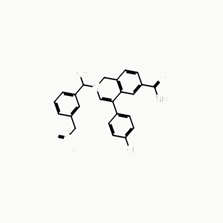 CC(c1cccc(C[SH](=O)=O)c1)N1C=C(c2ccc(Cl)cc2)c2cc(C(N)=O)ccc2C1